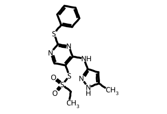 CCS(=O)(=O)Sc1cnc(Sc2ccccc2)nc1Nc1cc(C)[nH]n1